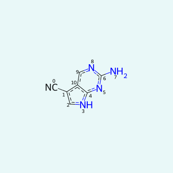 N#Cc1c[nH]c2nc(N)ncc12